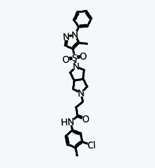 Cc1ccc(NC(=O)CCN2CC3CN(S(=O)(=O)c4cnn(-c5ccccc5)c4C)CC3C2)cc1Cl